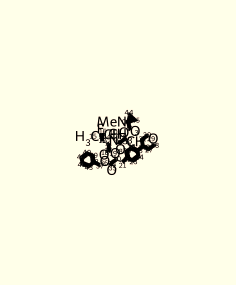 CNC1(C(=O)O[C@H](C)C(=O)N(C)[C@@H](CC(C)(C)F)C(=O)O[C@H](Cc2ccc(C3CCOCC3)cc2)C(=O)OCc2ccccc2)CC1